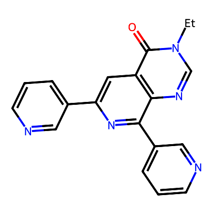 CCn1cnc2c(-c3cccnc3)nc(-c3cccnc3)cc2c1=O